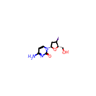 Nc1ccn([C@@H]2CC(I)[C@H](CO)O2)c(=O)n1